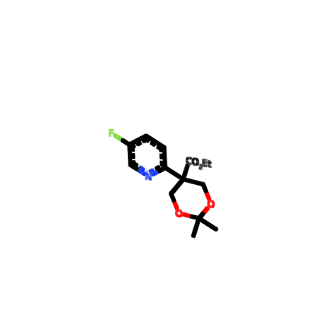 CCOC(=O)C1(c2ccc(F)cn2)COC(C)(C)OC1